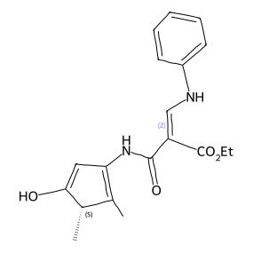 CCOC(=O)/C(=C\Nc1ccccc1)C(=O)NC1=C(C)[C@H](C)C(O)=C1